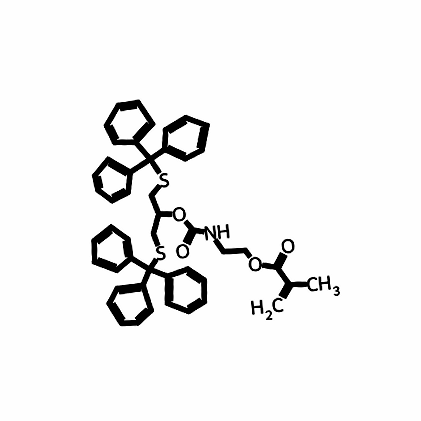 C=C(C)C(=O)OCCNC(=O)OC(CSC(c1ccccc1)(c1ccccc1)c1ccccc1)CSC(c1ccccc1)(c1ccccc1)c1ccccc1